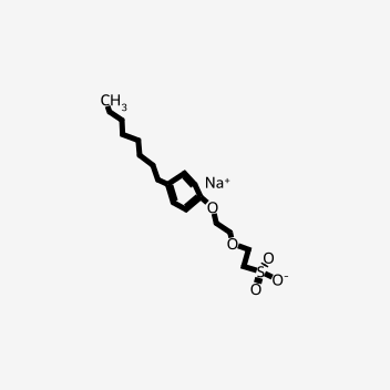 CCCCCCCCc1ccc(OCCOCCS(=O)(=O)[O-])cc1.[Na+]